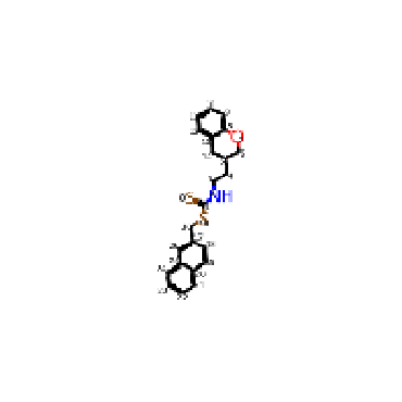 S=C(NCCC1COc2ccccc2C1)SCc1ccc2ccccc2c1